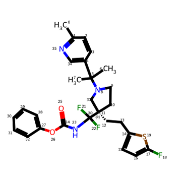 Cc1ccc(C(C)(C)N2CC[C@@](CCc3ccc(F)s3)(C(F)(F)NC(=O)Oc3ccccc3)C2)cn1